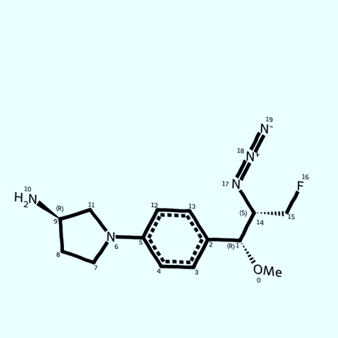 CO[C@H](c1ccc(N2CC[C@@H](N)C2)cc1)[C@@H](CF)N=[N+]=[N-]